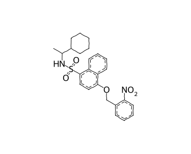 CC(NS(=O)(=O)c1ccc(OCc2ccccc2[N+](=O)[O-])c2ccccc12)C1CCCCC1